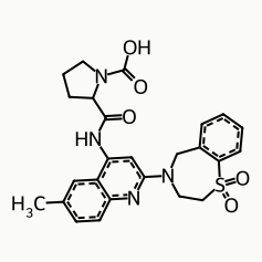 Cc1ccc2nc(N3CCS(=O)(=O)c4ccccc4C3)cc(NC(=O)C3CCCN3C(=O)O)c2c1